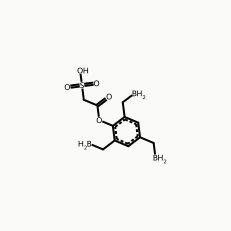 BCc1cc(CB)c(OC(=O)CS(=O)(=O)O)c(CB)c1